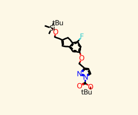 CC(C)(C)OC(=O)n1ccc(COc2cc(F)c3c(c2)C=C(CO[Si](C)(C)C(C)(C)C)C3)n1